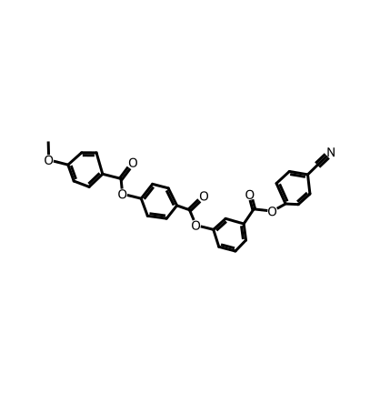 COc1ccc(C(=O)Oc2ccc(C(=O)Oc3cccc(C(=O)Oc4ccc(C#N)cc4)c3)cc2)cc1